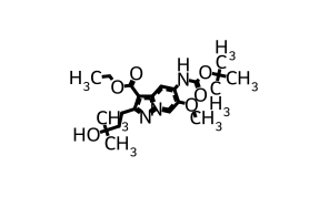 CCOC(=O)c1c(CCC(C)(C)O)nn2cc(OC)c(NC(=O)OC(C)(C)C)cc12